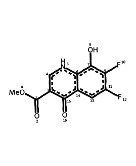 COC(=O)c1c[nH]c2c(O)c(F)c(F)cc2c1=O